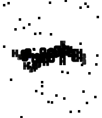 COC(=O)N[C@@H](CC/C=C/S(C)(=O)=O)C(=O)Nc1ccc(C)n(Cc2nc3c(F)cnc(CC(C)C)c3[nH]2)c1=O